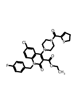 CCOC(=O)c1c(N2CCN(C(=O)C3=CCCS3)CC2)c2cc(Cl)ccc2n(Cc2ccc(F)cc2)c1=O